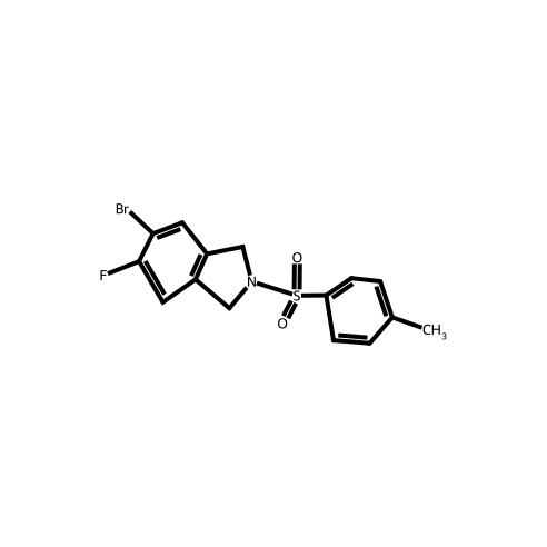 Cc1ccc(S(=O)(=O)N2Cc3cc(F)c(Br)cc3C2)cc1